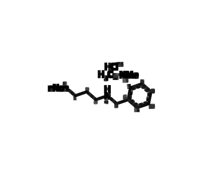 CCCCCCCCCCCCNCc1ccccc1.CNC.Cl